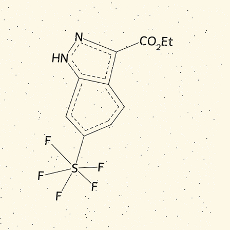 CCOC(=O)c1n[nH]c2cc(S(F)(F)(F)(F)F)ccc12